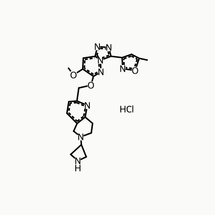 COc1cc2nnc(-c3cc(C)on3)n2nc1OCc1ccc2c(n1)CCN(C1CNC1)C2.Cl